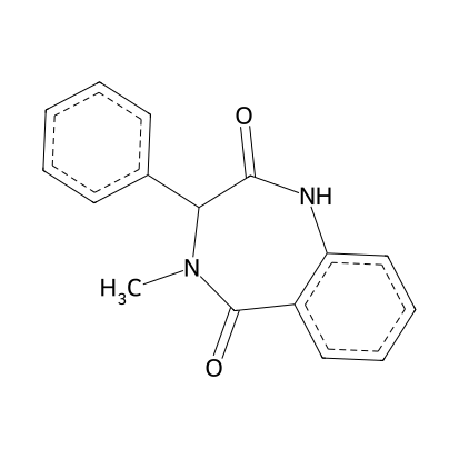 CN1C(=O)c2ccccc2NC(=O)C1c1ccccc1